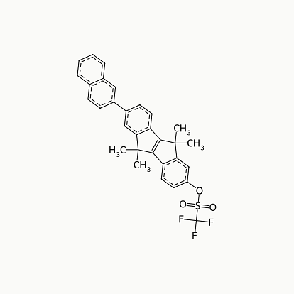 CC1(C)C2=C(c3ccc(OS(=O)(=O)C(F)(F)F)cc31)C(C)(C)c1cc(-c3ccc4ccccc4c3)ccc12